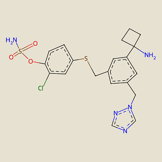 NC1(c2cc(CSc3ccc(OS(N)(=O)=O)c(Cl)c3)cc(Cn3cncn3)c2)CCC1